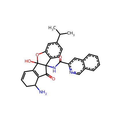 CC(C)c1ccc2c(c1)OC1(O)C3=C(C(=O)C21NC(=O)c1cc2ccccc2cn1)C(N)CC=C3